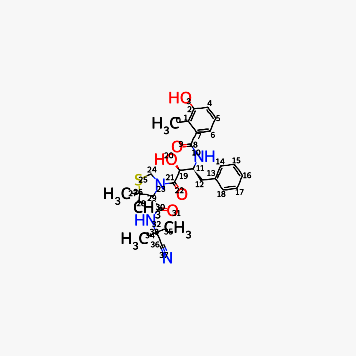 Cc1c(O)cccc1C(=O)N[C@@H](Cc1ccccc1)[C@H](O)C(=O)N1CSC(C)(C)[C@H]1C(=O)NC(C)(C)C#N